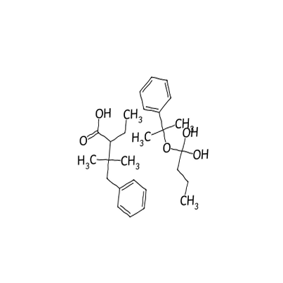 CCC(C(=O)O)C(C)(C)Cc1ccccc1.CCCC(O)(O)OC(C)(C)c1ccccc1